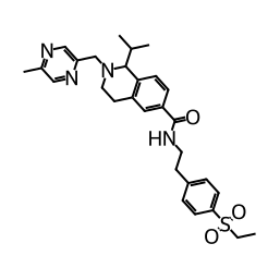 CCS(=O)(=O)c1ccc(CCNC(=O)c2ccc3c(c2)CCN(Cc2cnc(C)cn2)C3C(C)C)cc1